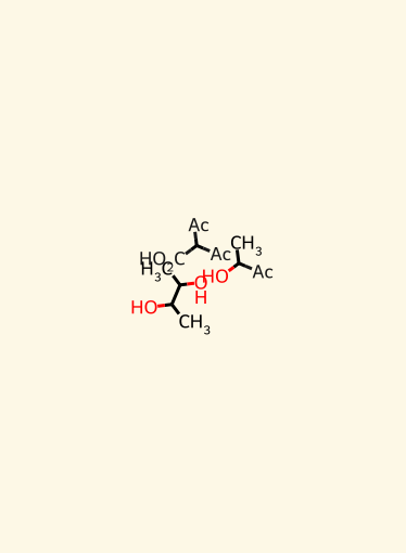 CC(=O)C(C(C)=O)C(=O)O.CC(=O)C(C)O.CC(O)C(C)O